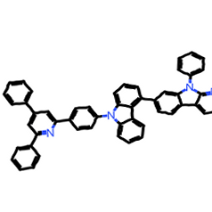 c1ccc(-c2cc(-c3ccccc3)nc(-c3ccc(-n4c5ccccc5c5c(-c6ccc7c8cccnc8n(-c8ccccc8)c7c6)cccc54)cc3)c2)cc1